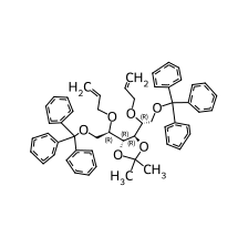 C=CCO[C@H](COC(c1ccccc1)(c1ccccc1)c1ccccc1)[C@H]1OC(C)(C)O[C@@H]1[C@@H](COC(c1ccccc1)(c1ccccc1)c1ccccc1)OCC=C